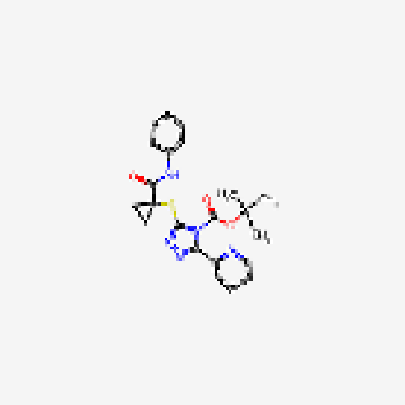 CC(C)(C)OC(=O)n1c(SC2(C(=O)Nc3ccccc3)CC2)nnc1-c1ccccn1